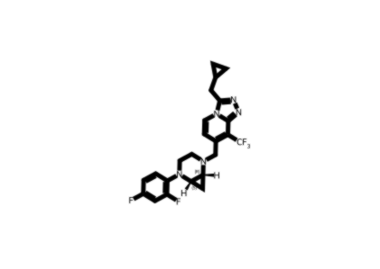 Fc1ccc(N2CCN(Cc3ccn4c(CC5CC5)nnc4c3C(F)(F)F)[C@@H]3C[C@@H]32)c(F)c1